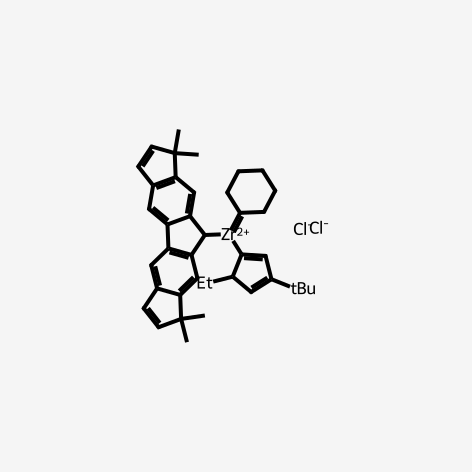 CCC1C=C(C(C)(C)C)C=[C]1[Zr+2](=[C]1CCCCC1)[CH]1c2cc3c(cc2-c2cc4c(cc21)C(C)(C)C=C4)C=CC3(C)C.[Cl-].[Cl-]